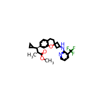 COC(=O)[C@H](C)[C@H](c1ccc2c(c1)OC1(CC2)CC(Nc2ncccc2C(F)(F)F)C1)C1CC1